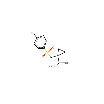 CCC(C(=O)O)C1(CS(=O)(=O)c2ccc(C#N)cc2)CC1